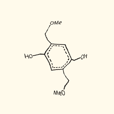 COCc1cc(O)c(COC)cc1O